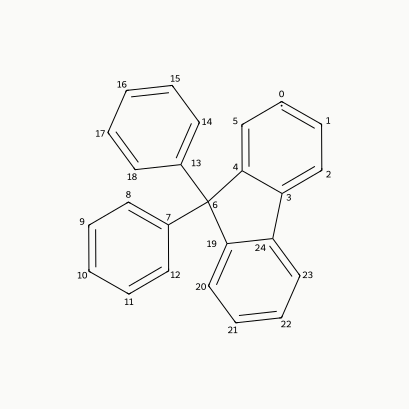 [c]1ccc2c(c1)C(c1ccccc1)(c1ccccc1)c1ccccc1-2